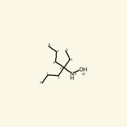 CCCC(CC)(CCC)NO